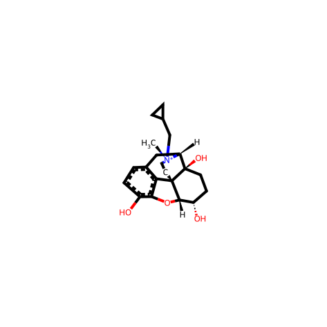 C[N@+]1(CC2CC2)CC[C@]23c4c5ccc(O)c4O[C@H]2[C@@H](O)CC[C@@]3(O)[C@H]1C5